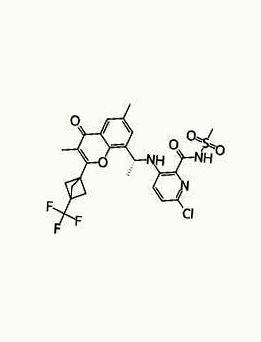 Cc1cc([C@@H](C)Nc2ccc(Cl)nc2C(=O)NS(C)(=O)=O)c2oc(C34CC(C(F)(F)F)(C3)C4)c(C)c(=O)c2c1